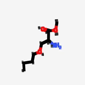 CCCCOCC(N)C(=O)OC